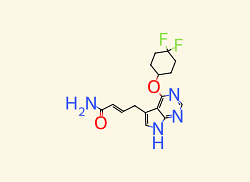 NC(=O)C=CCc1c[nH]c2ncnc(OC3CCC(F)(F)CC3)c12